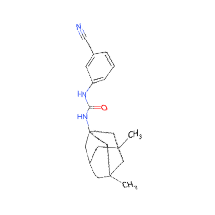 CC12CC3CC(C)(C1)CC(NC(=O)Nc1cccc(C#N)c1)(C3)C2